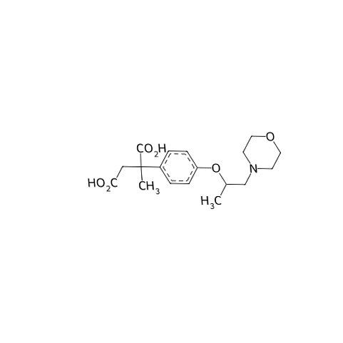 CC(CN1CCOCC1)Oc1ccc(C(C)(CC(=O)O)C(=O)O)cc1